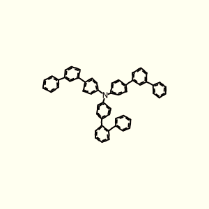 c1ccc(-c2cccc(-c3ccc(N(c4ccc(-c5cccc(-c6ccccc6)c5)cc4)c4ccc(-c5ccccc5-c5ccccc5)cc4)cc3)c2)cc1